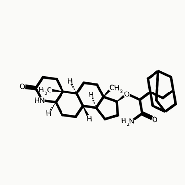 C[C@]12CCC(=O)N[C@@H]1CC[C@@H]1[C@@H]2CC[C@]2(C)[C@@H](OC(C(N)=O)C34CC5CC(CC(C5)C3)C4)CC[C@@H]12